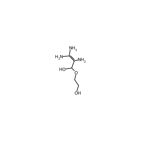 NC(N)=C(N)C(O)OCCO